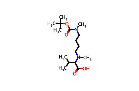 CC(C)C(C(=O)O)N(C)CCCCN(C)C(=O)OC(C)(C)C